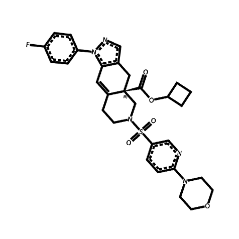 O=C(OC1CCC1)[C@]12Cc3cnn(-c4ccc(F)cc4)c3C=C1CCN(S(=O)(=O)c1ccc(N3CCOCC3)nc1)C2